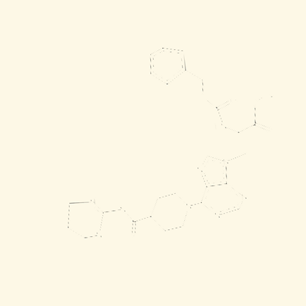 CC(C)(C)OC(=O)[C@H](Cn1cnc2c(N3CCC(C(=O)NC4=NCCCN4)CC3)ncnc21)NC(=O)OCc1ccccc1